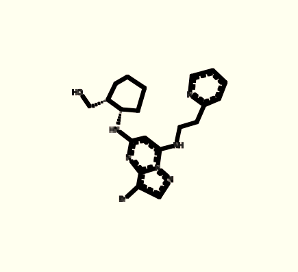 OC[C@@H]1CCCC[C@@H]1Nc1cc(NCCc2ccccn2)n2ncc(Br)c2n1